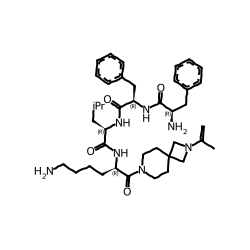 C=C(C)N1CC2(CCN(C(=O)[C@@H](CCCCN)NC(=O)[C@@H](CC(C)C)NC(=O)[C@@H](Cc3ccccc3)NC(=O)[C@H](N)Cc3ccccc3)CC2)C1